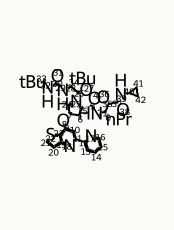 CCC[C@H](NC(=O)[C@@H]1CC(Oc2cc(-c3ccccn3)nc3ccsc23)CN1C(=O)[C@@H](NC(=O)NC(C)(C)C)C(C)(C)C)C(=O)C(=O)NC1CC1